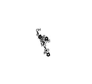 COc1ccc(Cl)c(Oc2c(NS(=O)(=O)c3ccc(OCCO)cc3)ncnc2OCCOC(=O)N(F)c2ccccc2)c1